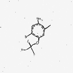 Cc1cc(OC(F)(F)F)c(Br)cc1N